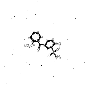 NS(=O)(=O)c1cc(C(=O)c2ccccc2C(=O)O)ccc1Cl